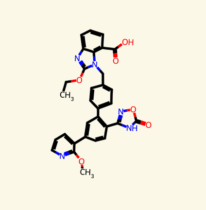 CCOc1nc2cccc(C(=O)O)c2n1Cc1ccc(-c2cc(-c3cccnc3OC)ccc2-c2noc(=O)[nH]2)cc1